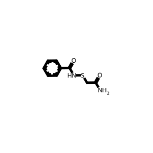 NC(=O)CSNC(=O)c1ccccc1